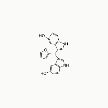 Oc1ccc2[nH]cc(C(c3ccco3)c3c[nH]c4ccc(O)cc34)c2c1